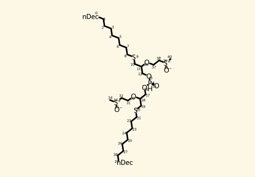 CCCCCCCCCCCCCCCCCCSCC(CO[PH](=O)OCC(CSCCCCCCCCCCCCCCCCCC)OCC[S+](C)[O-])OCC[S+](C)[O-]